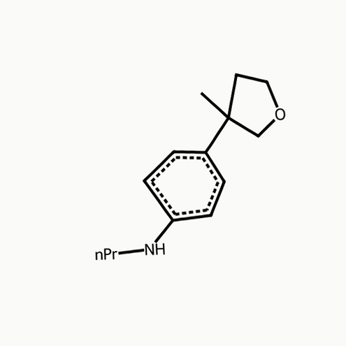 CCCNc1ccc(C2(C)CCOC2)cc1